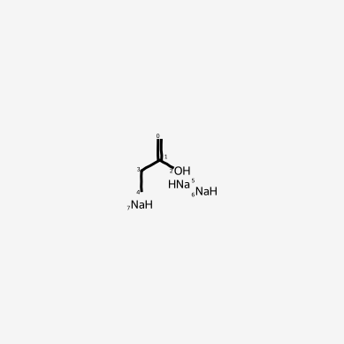 C=C(O)CC.[NaH].[NaH].[NaH]